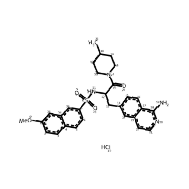 COc1ccc2ccc(S(=O)(=O)NC(Cc3ccc4c(N)nccc4c3)C(=O)N3CCC(C)CC3)cc2c1.Cl